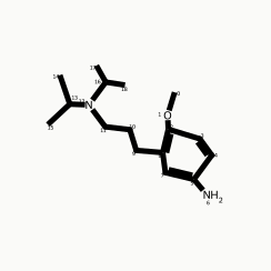 COc1ccc(N)cc1CCCN(C(C)C)C(C)C